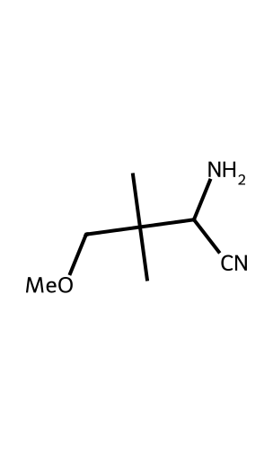 COCC(C)(C)C(N)C#N